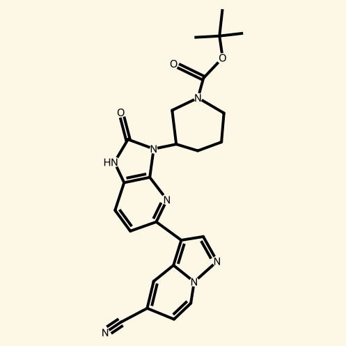 CC(C)(C)OC(=O)N1CCCC(n2c(=O)[nH]c3ccc(-c4cnn5ccc(C#N)cc45)nc32)C1